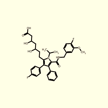 COc1cc(CNC(=O)c2c(-c3ccccc3)c(-c3ccc(F)cc3)c(CCC(O)CC(O)CC(=O)O)n2C(C)C)ccc1F